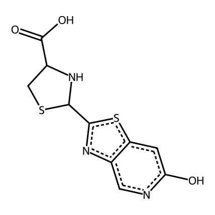 O=C(O)C1CSC(c2nc3cnc(O)cc3s2)N1